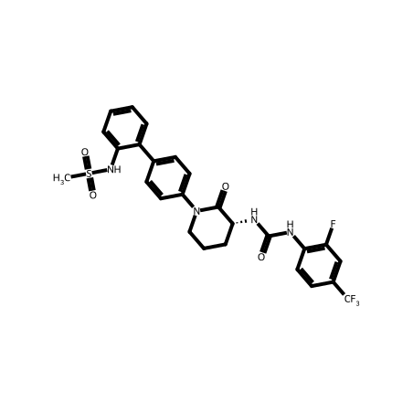 CS(=O)(=O)Nc1ccccc1-c1ccc(N2CCC[C@@H](NC(=O)Nc3ccc(C(F)(F)F)cc3F)C2=O)cc1